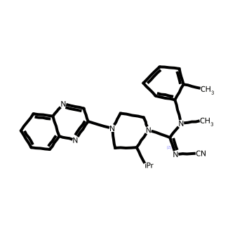 Cc1ccccc1N(C)/C(=N\C#N)N1CCN(c2cnc3ccccc3n2)CC1C(C)C